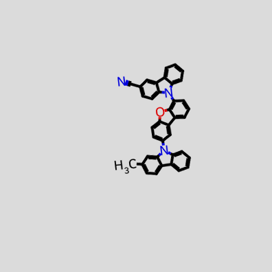 Cc1ccc2c3ccccc3n(-c3ccc4oc5c(-n6c7ccccc7c7cc(C#N)ccc76)cccc5c4c3)c2c1